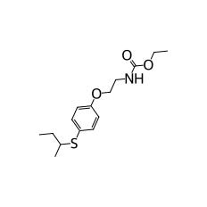 CCOC(=O)NCCOc1ccc(SC(C)CC)cc1